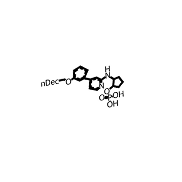 CCCCCCCCCCCOc1cccc(-c2ccnc(NC3CCCC3OP(=O)(O)O)c2)c1